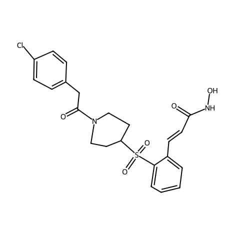 O=C(C=Cc1ccccc1S(=O)(=O)C1CCN(C(=O)Cc2ccc(Cl)cc2)CC1)NO